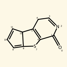 O=C1N=CCC2=C1SC1=CC=CC12